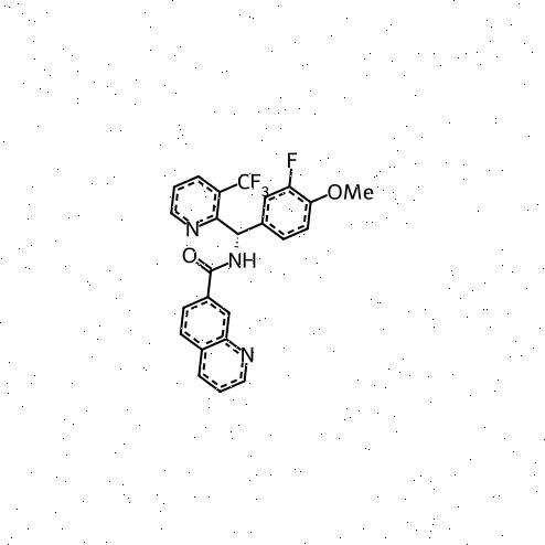 COc1ccc([C@H](NC(=O)c2ccc3cccnc3c2)c2ncccc2C(F)(F)F)cc1F